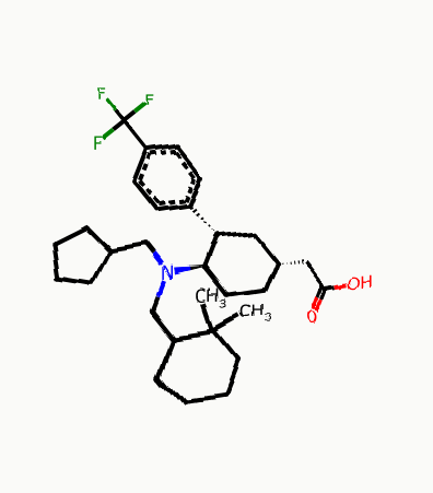 CC1(C)CCCCC1CN(CC1CCCC1)[C@@H]1CC[C@@H](CC(=O)O)C[C@H]1c1ccc(C(F)(F)F)cc1